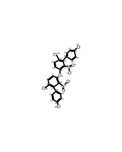 O=[N+]([O-])c1c(Oc2ccc(Cl)c(-c3ccc(Cl)cc3)c2[N+](=O)[O-])ccc(Cl)c1-c1ccc(Cl)cc1